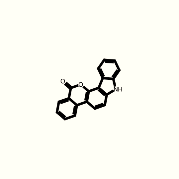 O=c1oc2c(ccc3[nH]c4ccccc4c32)c2ccccc12